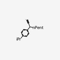 [C]#CC(CCCCC)c1ccc(C(C)C)cc1